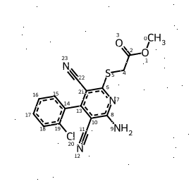 COC(=O)CSc1nc(N)c(C#N)c(-c2ccccc2Cl)c1C#N